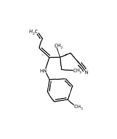 C=C/C=C(/Nc1ccc(C)cc1)C(C)(CC)CC#N